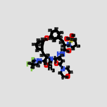 CN1C(=O)[C@H](CCN2CCOCC2)NC(=O)C(N2CCCS2(=O)=O)Cc2cccc(c2)Oc2cccc(c2)CC1C(=O)NCC(F)(F)F